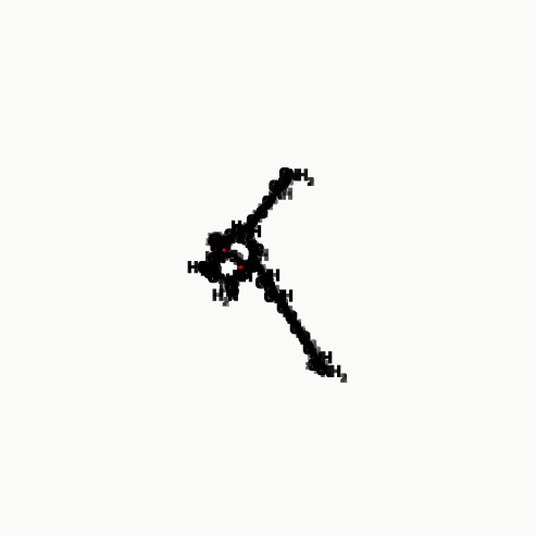 NCCC[C@@H]1NC(=O)[C@@H]2CSSC[C@H](NC(=O)[C@H](CC(=O)O)NC(=O)CNC1=O)C(=O)N[C@@H](Cc1ccccc1)C(=O)N[C@H](C(=O)NCCOCCOCCOCCNC(=O)COCC(N)=O)CSCC(=O)N[C@@H](CCCCNC(=O)COCC(=O)NCCOCCOCCOCCOCCOCCNC(=O)CON)C(=O)N2